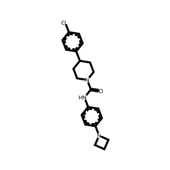 O=C(Nc1ccc(N2C[CH]C2)cc1)N1CCC(c2ccc(Cl)cc2)CC1